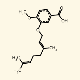 COc1ccc(C(=O)O)cc1OC/C=C(\C)CCC=C(C)C